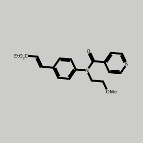 CCOC(=O)/C=C/c1ccc(N(CCOC)C(=O)c2ccncc2)cc1